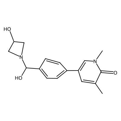 Cc1cc(-c2ccc(C(O)N3CC(O)C3)cc2)cn(C)c1=O